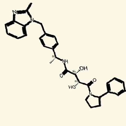 Cc1nc2ccccc2n1Cc1ccc([C@@H](C)NC(=O)[C@H](O)[C@@H](O)C(=O)N2CCCC2c2cccc(Cl)c2)cc1